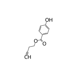 C#CCCOC(=O)c1ccc(O)cc1